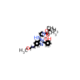 COC/C=C/c1ccc2c(NC3CCN(C(=O)OC(C)(C)C)C3)nc(-c3ccccc3O)nc2c1